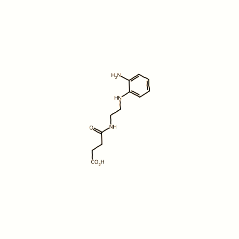 Nc1ccccc1NCCNC(=O)CCC(=O)O